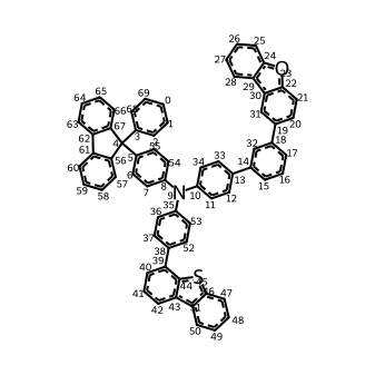 c1ccc(C2(c3ccc(N(c4ccc(-c5cccc(-c6ccc7oc8ccccc8c7c6)c5)cc4)c4ccc(-c5cccc6c5sc5ccccc56)cc4)cc3)c3ccccc3-c3ccccc32)cc1